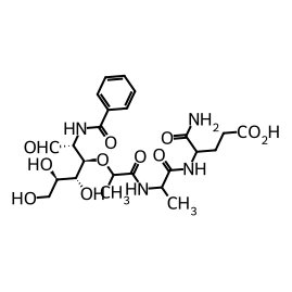 CC(NC(=O)C(C)O[C@@H]([C@H](O)[C@H](O)CO)[C@H](C=O)NC(=O)c1ccccc1)C(=O)NC(CCC(=O)O)C(N)=O